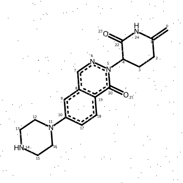 C=C1CCC(n2ncc3cc(N4CCNCC4)ccc3c2=O)C(=O)N1